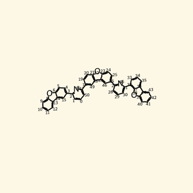 c1cc(-c2ccc3oc4ccccc4c3c2)nc(-c2ccc3oc4ccc(-c5cccc(-c6cccc7c6oc6ccccc67)n5)cc4c3c2)c1